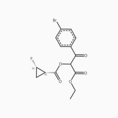 CCOC(=O)C(OC(=O)[C@@H]1C[C@@H]1F)C(=O)c1ccc(Br)cc1